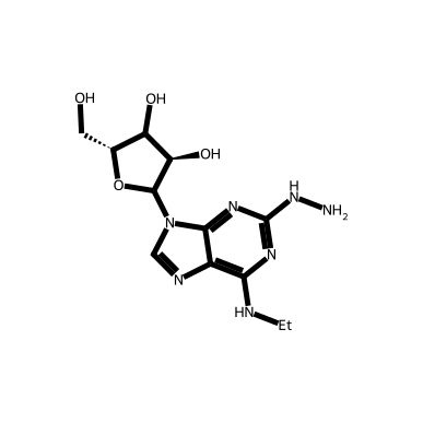 CCNc1nc(NN)nc2c1ncn2C1O[C@H](CO)C(O)[C@H]1O